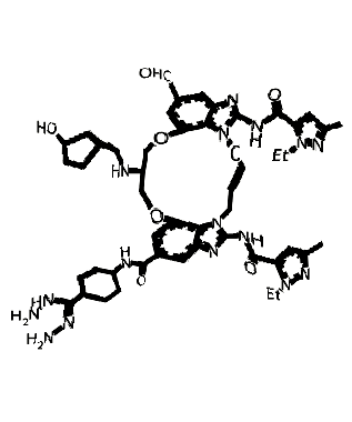 CCn1nc(C)cc1C(=O)Nc1nc2cc(C=O)cc3c2n1C/C=C/Cn1c(NC(=O)c2cc(C)nn2CC)nc2cc(C(=O)NC4CCC(/C(=N/N)NN)CC4)cc(c21)OCC(NCC1CCC(O)C1)CO3